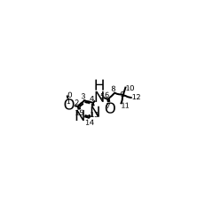 COc1cc(NC(=O)CC(C)(C)C)ncn1